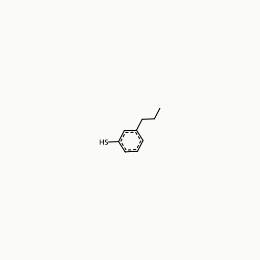 CCCc1cccc(S)c1